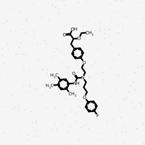 CCOC(Cc1ccc(OCCN(CCCOc2ccc(F)cc2)C(=O)Nc2cc(C)c(C)cc2C)cc1)C(=O)O